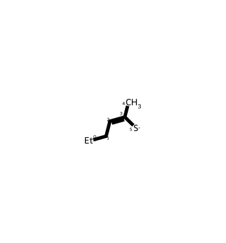 CCC/C=C(/C)[S]